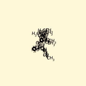 CCOC(=O)Cn1cc2c(n1)CCN(C(=O)[C@H](Cc1ccccc1)NC(=O)c1ccc(C(=NC(=O)OC(C)(C)C)N(C(=O)OC(C)(C)C)C(=O)OC(C)(C)C)cc1)C2